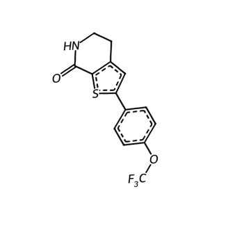 O=C1NCCc2cc(-c3ccc(OC(F)(F)F)cc3)sc21